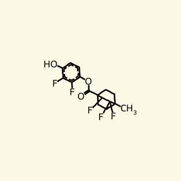 CC12CCC(C(=O)Oc3ccc(O)c(F)c3F)(CC1)C(F)C2(F)F